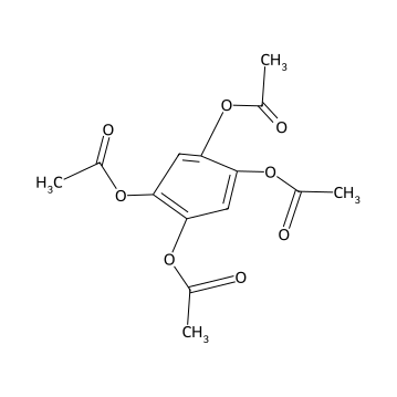 CC(=O)Oc1cc(OC(C)=O)c(OC(C)=O)cc1OC(C)=O